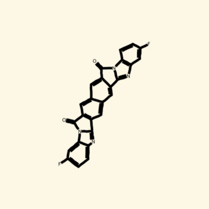 O=c1c2cc3cc4c(=O)n5c6cc(F)ccc6nc5c4cc3cc2c2nc3cc(F)ccc3n12